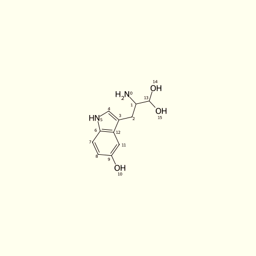 NC(Cc1c[nH]c2ccc(O)cc12)C(O)O